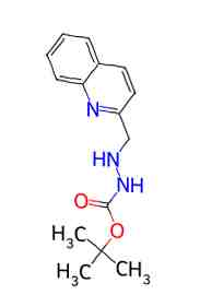 CC(C)(C)OC(=O)NNCc1ccc2ccccc2n1